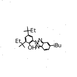 CCC(C)c1ccc2nn(-c3cc(C(C)(C)CC)cc(C(C)(C)CC)c3O)nc2c1